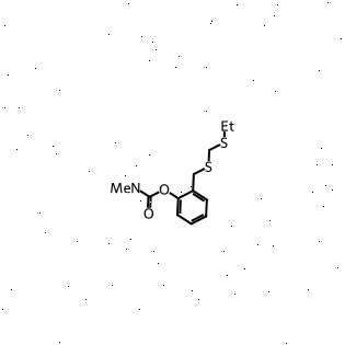 CCSCSCc1ccccc1OC(=O)NC